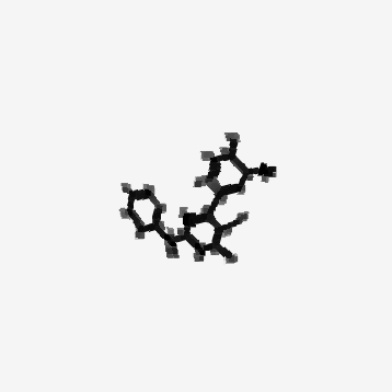 CC(=O)c1cc(-c2nc(Nc3ccccc3)nc(C)c2C)ccc1C